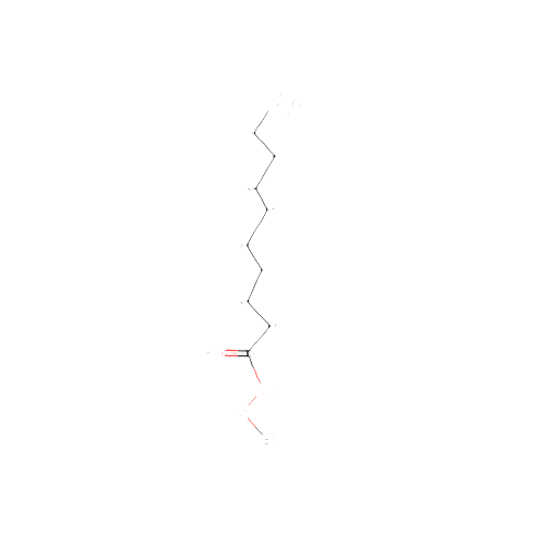 CCOOC(=O)CCCCCCCCC(=O)OCC